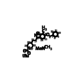 CNC.Cc1c(OCc2ccccc2)ccc2c(CCC3CCN(C(=O)OC(C)(C)C)CC3)noc12